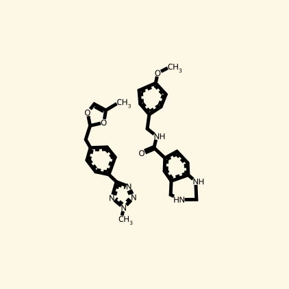 CC1=COC(Cc2ccc(-c3nnn(C)n3)cc2)O1.COc1ccc(CNC(=O)c2ccc3c(c2)CNCN3)cc1